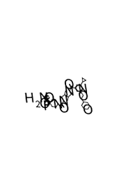 NS(=O)(=O)C1(F)CCN(C(=O)N2CC3=C(CN(C(=O)c4cc(OCC5CCOCC5)nc(C5CC5)c4)C3)C2)CC1